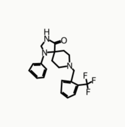 O=C1NCN(c2ccccc2)C12CCN(Cc1ccccc1C(F)(F)F)CC2